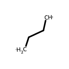 [CH]CC[CH2]